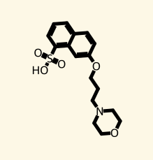 O=S(=O)(O)c1cccc2ccc(OCCCN3CCOCC3)cc12